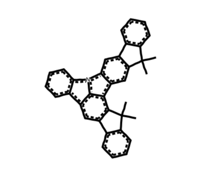 CC1(C)c2ccccc2-c2cc3c(cc21)c1c2c(cc4c5ccccc5n3c41)-c1ccccc1C2(C)C